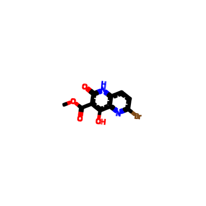 COC(=O)c1c(O)c2nc(Br)ccc2[nH]c1=O